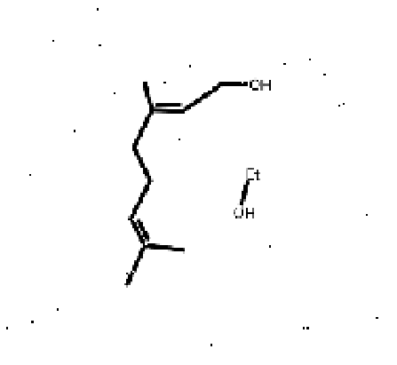 CC(C)=CCCC(C)=CCO.CCO